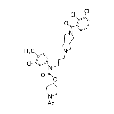 CC(=O)N1CCC(OC(=O)N(CCCN2CC3CN(C(=O)c4cccc(Cl)c4Cl)CC3C2)c2ccc(C)c(Cl)c2)CC1